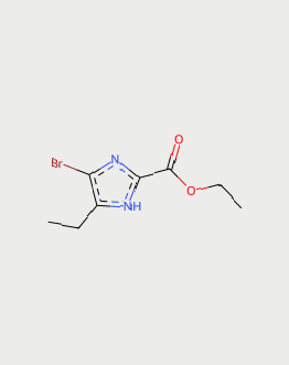 CCOC(=O)c1nc(Br)c(CC)[nH]1